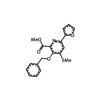 COC(=O)c1nc(-c2ccco2)cc(SC)c1OCc1ccccc1